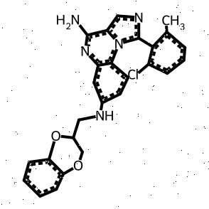 Cc1cccc(Cl)c1-c1ncc2c(N)nc3cc(NCC4COc5ccccc5O4)ccc3n12